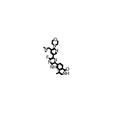 Cc1c[nH]c(=O)c2ccc(-c3nc(-c4cnc(N5CCOCC5)c(CN(C)C)c4)c(F)nc3N)cc12